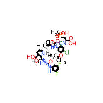 C/C(=N\NC(=O)Nc1cc(F)cc(F)c1)c1ncccc1C(=O)O.CC(C)Oc1cc(-n2nc(C(C)(C)C)oc2=O)c(Cl)cc1Cl.CP(=O)(O)CCC(N)C(=O)O